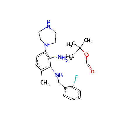 CC(C)(C)OC=O.Cc1ccc(N2CCNCC2)c(N)c1NCc1ccccc1F